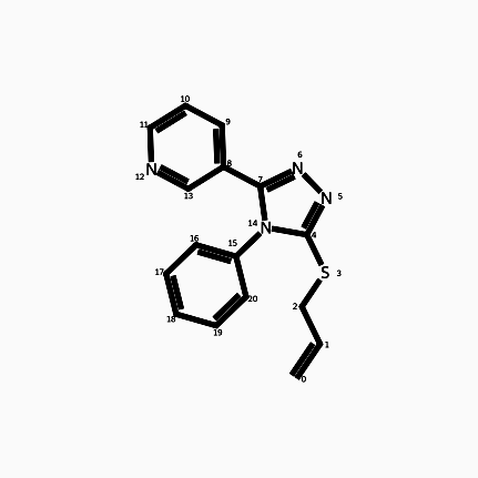 C=CCSc1nnc(-c2cccnc2)n1-c1ccccc1